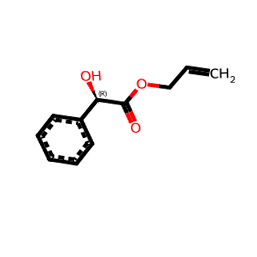 C=CCOC(=O)[C@H](O)c1ccccc1